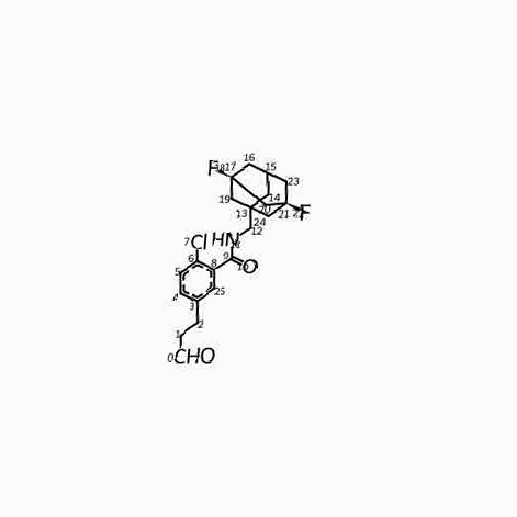 O=CCCc1ccc(Cl)c(C(=O)NCC23CC4C[C@@](F)(C2)C[C@](F)(C4)C3)c1